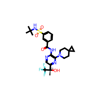 CC(C)(C)NS(=O)(=O)c1cccc(C(=O)Nc2ncc([C@](C)(O)C(F)(F)F)nc2N2CCC3(CC2)CC3)c1